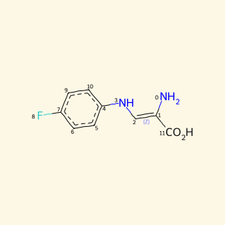 N/C(=C\Nc1ccc(F)cc1)C(=O)O